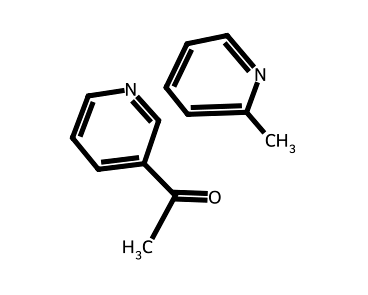 CC(=O)c1cccnc1.Cc1ccccn1